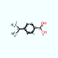 CC(C)c1ccc(C(O)O)cc1